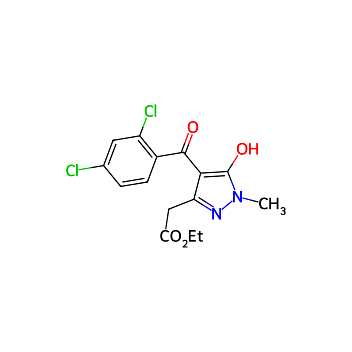 CCOC(=O)Cc1nn(C)c(O)c1C(=O)c1ccc(Cl)cc1Cl